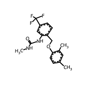 CNC(=O)Nc1cc(C(F)(F)F)ccc1COc1ccc(C)cc1C